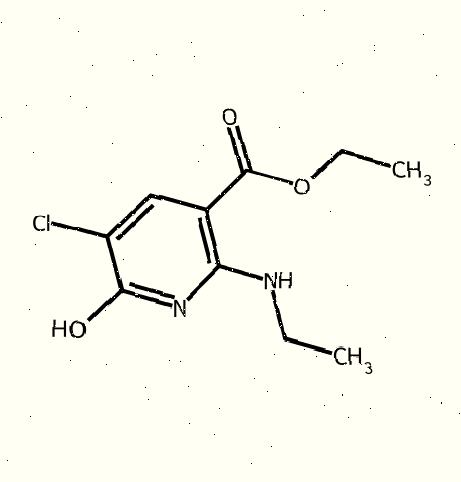 CCNc1nc(O)c(Cl)cc1C(=O)OCC